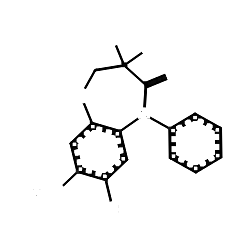 CCCC1(C)CSc2cc(OC)c(C)cc2N(c2ccccc2)C1=O